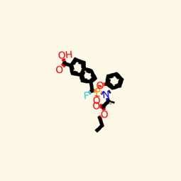 CCCOC(=O)[C@H](C)N(C)P(=O)(Oc1ccccc1)C(F)c1ccc2ccc(C(=O)O)cc2c1